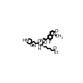 CCC(=O)CCCCC[C@H](NC(=O)C1=NOC2(CCNCC2)C1)c1ncc(-c2cc3ccc(=O)n(C)c3cc2F)o1